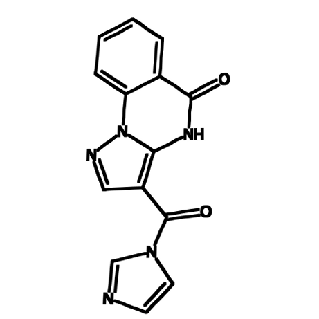 O=C(c1cnn2c1[nH]c(=O)c1ccccc12)n1ccnc1